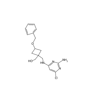 Nc1nc(Cl)cc(NCC2(CO)CC(OCc3ccccc3)C2)n1